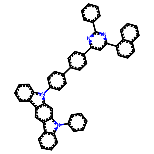 c1ccc(-c2nc(-c3ccc(-c4ccc(-n5c6ccccc6c6cc7c8ccccc8n(-c8ccccc8)c7cc65)cc4)cc3)cc(-c3cccc4ccccc34)n2)cc1